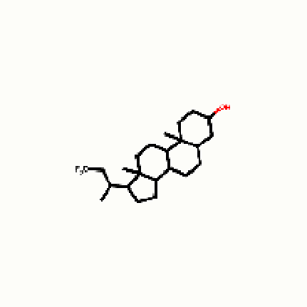 CC(CC(F)(F)F)C1CCC2C3CCC4CC(O)CCC4(C)C3CCC12C